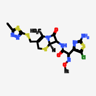 CCO/N=C(\C(=O)NC1C(=O)N2C(C(=O)O)=C(CSc3nnc(C)s3)CS[C@H]12)c1nc(N)sc1Cl